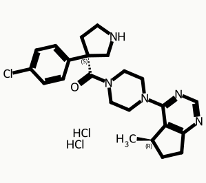 C[C@@H]1CCc2ncnc(N3CCN(C(=O)[C@]4(c5ccc(Cl)cc5)CCNC4)CC3)c21.Cl.Cl